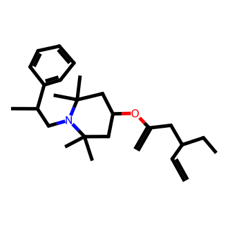 C=CC(CC)CC(=C)OC1CC(C)(C)N(CC(C)c2ccccc2)C(C)(C)C1